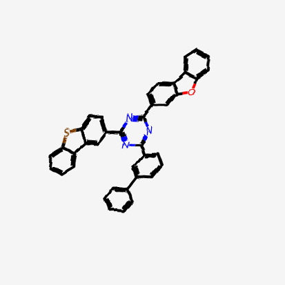 c1ccc(-c2cccc(-c3nc(-c4ccc5c(c4)oc4ccccc45)nc(-c4ccc5sc6ccccc6c5c4)n3)c2)cc1